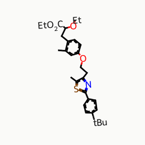 CCOC(=O)C(Cc1ccc(OCCc2nc(-c3ccc(C(C)(C)C)cc3)sc2C)cc1C)OCC